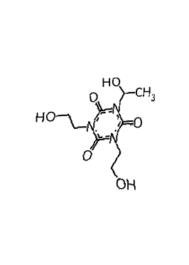 CC(O)n1c(=O)n(CCO)c(=O)n(CCO)c1=O